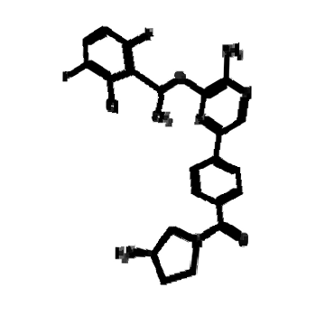 CC(Oc1nc(-c2ccc(C(=O)N3CC[C@@H](N)C3)cc2)cnc1N)c1c(F)ccc(F)c1Cl